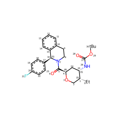 CC[C@@H]1CO[C@@H](C(=O)N2CCc3ccccc3[C@@H]2c2ccc(F)cc2)C[C@@H]1NC(=O)OC(C)(C)C